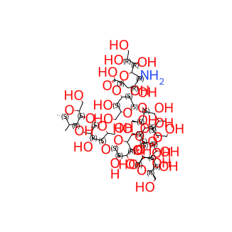 CC1C(O)[C@H](O[C@@H]2OC(CO)[C@H](O)C(O[C@]3(C(=O)O)C[C@@H](O)[C@@H](N)C([C@H](O)[C@H](O)CO)O3)[C@@H]2O)[C@H](CO)O[C@H]1O[C@@H]1C(O)[C@H](O)C(CO)O[C@@H]1OCC1O[C@@H](O[C@@H]2C(CO)O[C@@H](O[C@@H]3C(CO)O[C@@H](C)C(C)[C@H]3O)C(C)[C@H]2O)[C@H](O)C(O[C@H]2O[C@H](CO)[C@@H](O)C(O)C2O[C@@H]2OC(CO)[C@@H](O)C(O)[C@@H]2C)[C@@H]1O